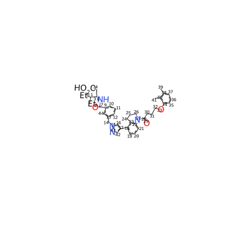 CCC(CC)C(CC(=O)O)NC(=O)c1cccc(Cn2cc(-c3cccc4c3CCCN4C(=O)CCCOc3cccc(C)c3C)cn2)c1